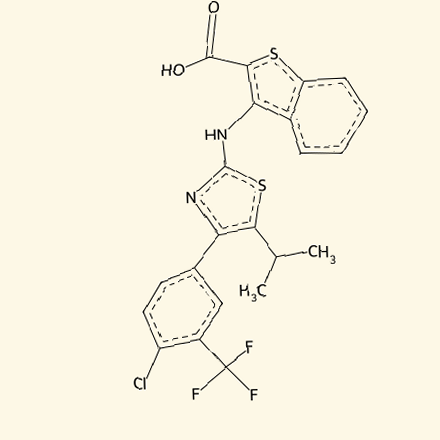 CC(C)c1sc(Nc2c(C(=O)O)sc3ccccc23)nc1-c1ccc(Cl)c(C(F)(F)F)c1